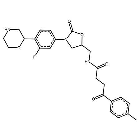 Cc1ccc(C(=O)CCC(=O)NCC2CN(c3ccc(C4CNCCO4)c(F)c3)C(=O)O2)cc1